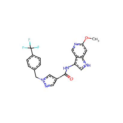 COc1cc2[nH]cc(NC(=O)c3cnn(Cc4ccc(C(F)(F)F)cc4)c3)c2cn1